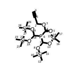 C#CCOC(=O)P(C(O[Si](C)(C)C)O[Si](C)(C)C)C(O[Si](C)(C)C)O[Si](C)(C)C